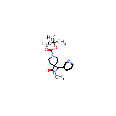 CN1C(=O)C2(CCN(C(=O)OC(C)(C)C)CC2)C1c1cccnc1